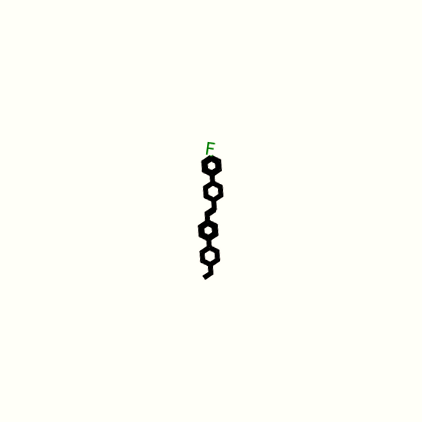 CCC1CCC(c2ccc(C=CC3CCC(c4ccc(F)cc4)CC3)cc2)CC1